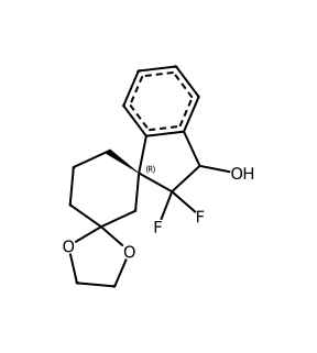 OC1c2ccccc2[C@]2(CCCC3(C2)OCCO3)C1(F)F